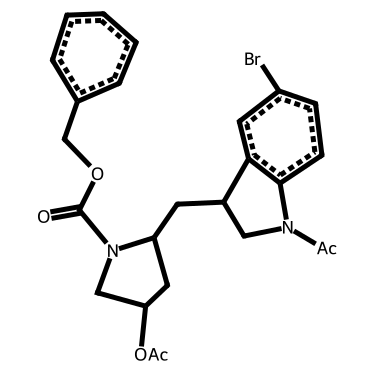 CC(=O)OC1CC(CC2CN(C(C)=O)c3ccc(Br)cc32)N(C(=O)OCc2ccccc2)C1